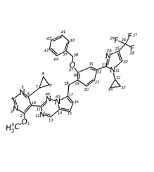 COc1ncnc(C2CC2)c1-c1ncc2ccc(Cc3ccc(-c4nc(C(F)(F)F)cn4C4CC4)cc3OCc3ccccc3)n2n1